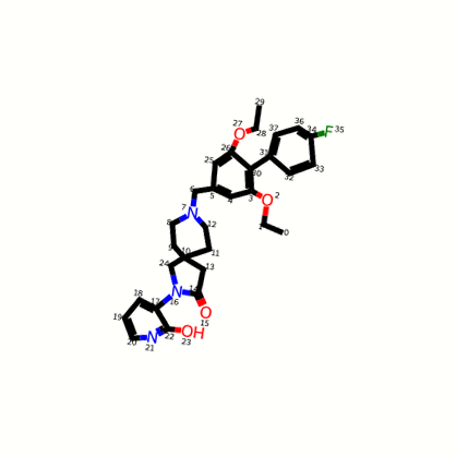 CCOc1cc(CN2CCC3(CC2)CC(=O)N(c2cccnc2O)C3)cc(OCC)c1-c1ccc(F)cc1